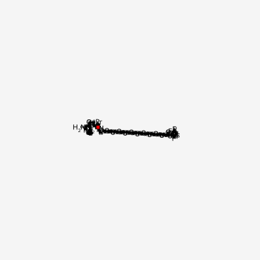 CCCN(CC12CC(C1)[C@H](CN(C)CCOCCOCCOCCOCCOCCOCCOCCOCCOCCOCCC(=O)Oc1c(F)c(F)cc(F)c1F)C2)C(=O)C1=Cc2sccc2N=C(N)C1